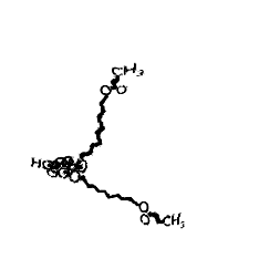 CC=CC(=O)OCCCCCCCCCCOP(=O)(OCCCCCCCCCCOC(=O)C=CC)OP(=O)(O)O